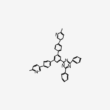 CC1=CCC(c2ccc(-c3cc(-c4ccc(-c5ccc(C)nc5)cc4)cc(-c4nc(-c5ccccc5)nc(-c5ccccc5)n4)c3)cc2)C=N1